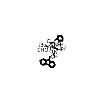 Cc1ccccc1C[C@H](NC(=O)[C@H](NC(=O)OCC1c2ccccc2-c2ccccc21)C(C)C)C(=O)N[C@H]([C]=O)C(C)(C)C